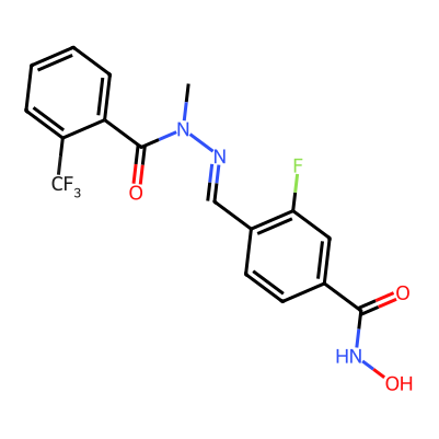 CN(N=Cc1ccc(C(=O)NO)cc1F)C(=O)c1ccccc1C(F)(F)F